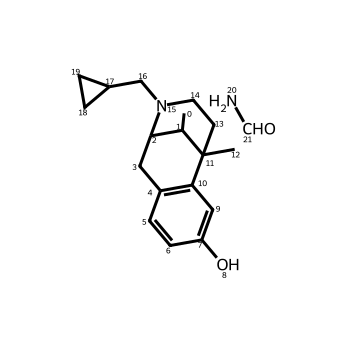 CC1C2Cc3ccc(O)cc3C1(C)CCN2CC1CC1.NC=O